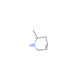 C[C]1CC=CCN1